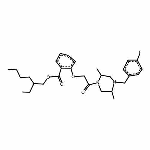 CCCCC(CC)COC(=O)c1ccccc1OCC(=O)N1CC(C)N(Cc2ccc(F)cc2)CC1C